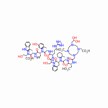 CC(C)C[C@H](NC(=O)[C@H](Cc1ccc(O)cc1)NC(=O)C(CCCNC(=N)N)NC(=O)C(CO)NC(=O)C(Cc1ccccc1)NC(=O)[C@H](CC1CCCCC1)NC(=O)[C@H](CC(=O)O)NC(=O)CN1CCN(CC(=O)O)CCN(CC(O)O)CCN(CC(=O)O)CC1)C(=O)N[C@@H](Cc1c[nH]c2ccccc12)C(=O)N[C@@H](CO)C(=O)O